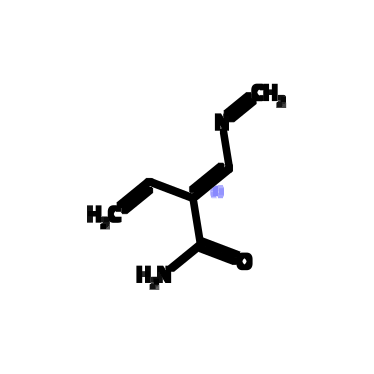 C=C/C(=C\N=C)C(N)=O